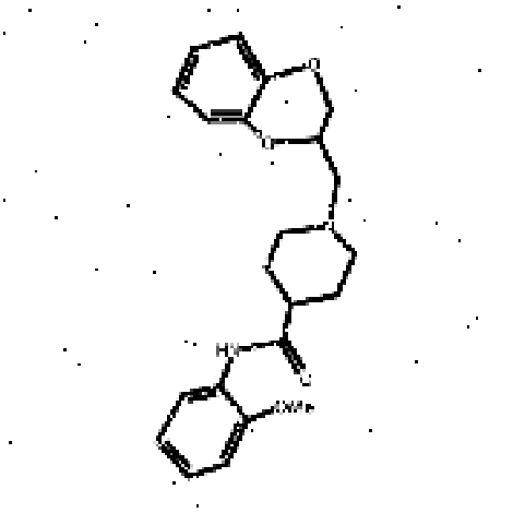 COc1ccccc1NC(=O)C1CCN(CC2COc3ccccc3O2)CC1